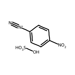 N#[N+]c1ccc([N+](=O)[O-])cc1.O=S(=O)(O)O